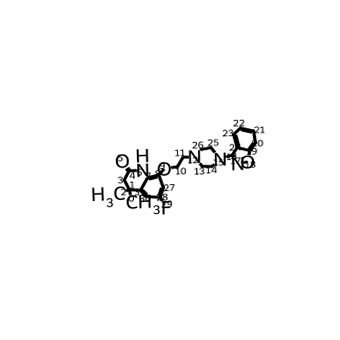 CC1(C)CC(=O)Nc2c(OCCN3CCN(c4noc5ccccc45)CC3)cc(F)cc21